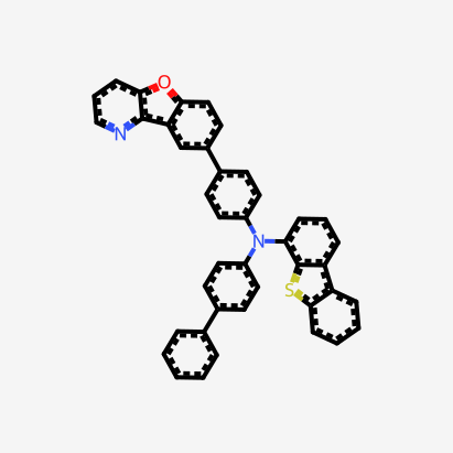 c1ccc(-c2ccc(N(c3ccc(-c4ccc5oc6cccnc6c5c4)cc3)c3cccc4c3sc3ccccc34)cc2)cc1